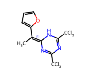 C/C(=C1\N=C(C(Cl)(Cl)Cl)N=C(C(Cl)(Cl)Cl)N1)c1ccco1